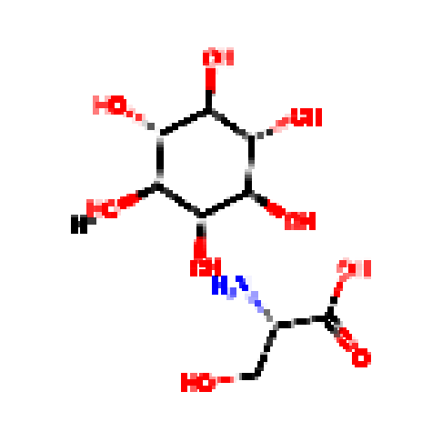 N[C@@H](CO)C(=O)O.O[C@H]1[C@H](O)[C@@H](O)[C@H](O)[C@@H](O)[C@H]1O.[H+]